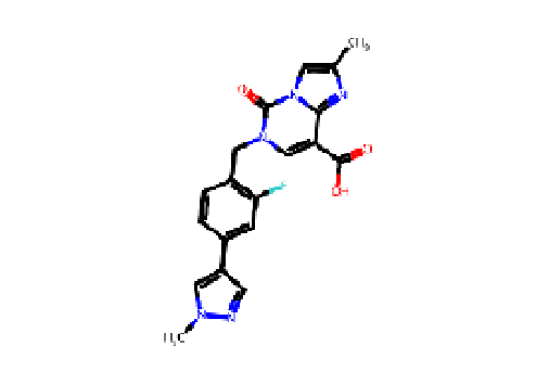 Cc1cn2c(=O)n(Cc3ccc(-c4cnn(C)c4)cc3F)cc(C(=O)O)c2n1